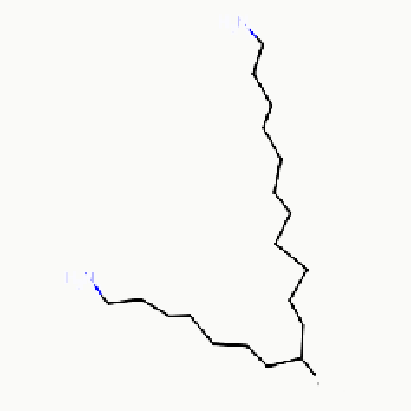 CC(CCCCCCCN)CCCCCCCCCCCN